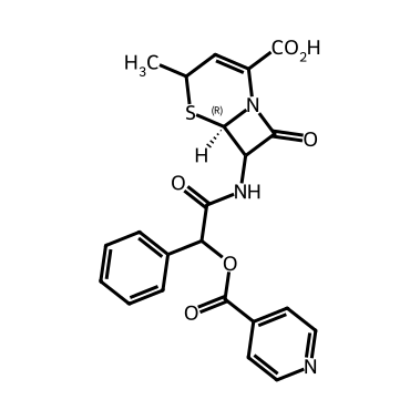 CC1C=C(C(=O)O)N2C(=O)C(NC(=O)C(OC(=O)c3ccncc3)c3ccccc3)[C@H]2S1